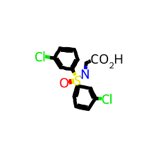 O=C(O)CN=S(=O)(c1cccc(Cl)c1)c1cccc(Cl)c1